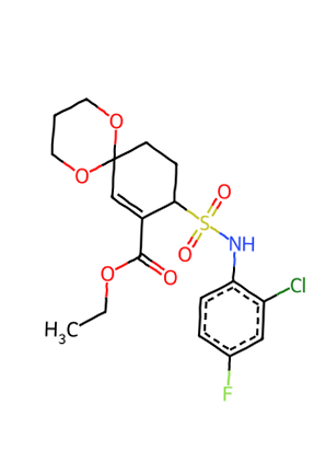 CCOC(=O)C1=CC2(CCC1S(=O)(=O)Nc1ccc(F)cc1Cl)OCCCO2